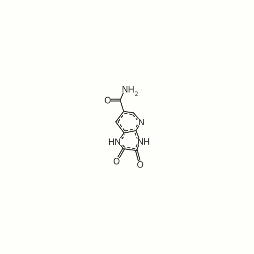 NC(=O)c1cnc2[nH]c(=O)c(=O)[nH]c2c1